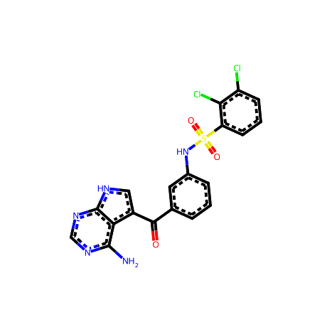 Nc1ncnc2[nH]cc(C(=O)c3cccc(NS(=O)(=O)c4cccc(Cl)c4Cl)c3)c12